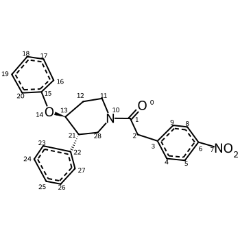 O=C(Cc1ccc([N+](=O)[O-])cc1)N1CC[C@H](Oc2ccccc2)[C@@H](c2ccccc2)C1